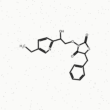 CCc1ccc(C(O)CON2C(=O)SC(Cc3ccccc3)C2=O)nc1